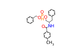 Cc1ccc(C(=O)NC(CO[PH](=O)OCc2ccccc2)Cc2ccccc2)cc1